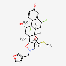 CSCC(=O)[C@@]12ON(Cc3ccoc3)C[C@@H]1C[C@H]1[C@@H]3C[C@H](F)C4=CC(=O)C=C[C@]4(C)[C@@]3(F)[C@@H](O)C[C@@]12C